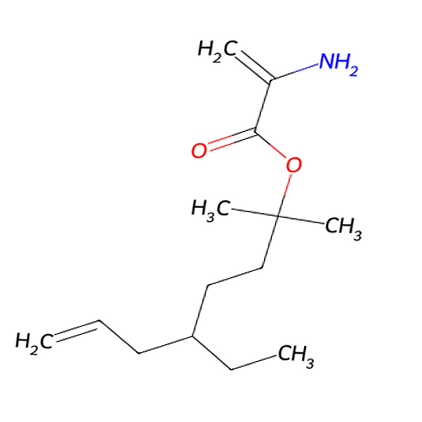 C=CCC(CC)CCC(C)(C)OC(=O)C(=C)N